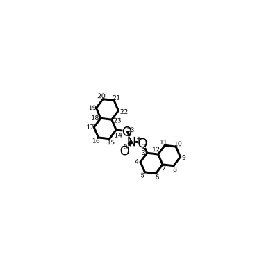 O=[N+](OC1CCCC2CCCCC21)OC1CCCC2CCCCC21